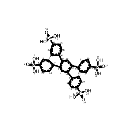 O=P(O)(O)c1ccc(-c2cc(-c3ccc(P(=O)(O)O)cc3)c(-c3ccc(P(=O)(O)O)cc3)cc2-c2ccc(P(=O)(O)O)cc2)cc1